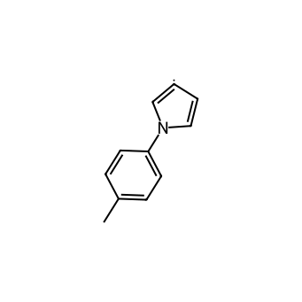 Cc1ccc(-n2c[c]cc2)cc1